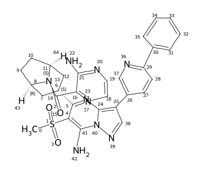 CS(=O)(=O)c1c([C@@H]2C[C@H]3CC[C@@H](C2)N3C(=O)c2nccnc2N)nc2c(-c3ccc(-c4ccccc4)nc3)cnn2c1N